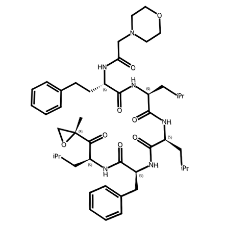 CC(C)C[C@H](NC(=O)[C@H](CCc1ccccc1)NC(=O)CN1CCOCC1)C(=O)N[C@@H](CC(C)C)C(=O)N[C@@H](Cc1ccccc1)C(=O)N[C@@H](CC(C)C)C(=O)[C@@]1(C)CO1